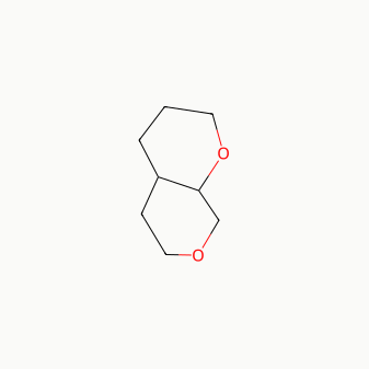 C1COC2COCCC2C1